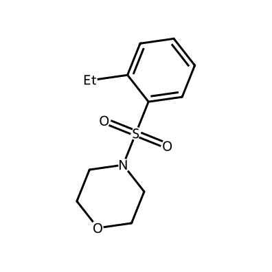 CCc1ccccc1S(=O)(=O)N1CCOCC1